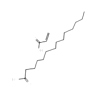 C=CC(=O)O.CCCCCCCCCCCCCC(=O)O